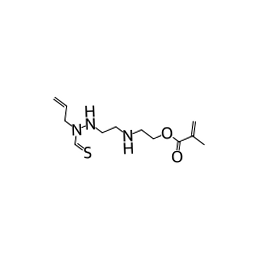 C=CCN(C=S)NCCNCCOC(=O)C(=C)C